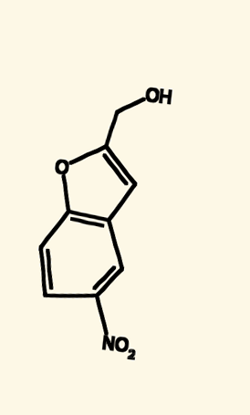 O=[N+]([O-])c1ccc2oc(CO)cc2c1